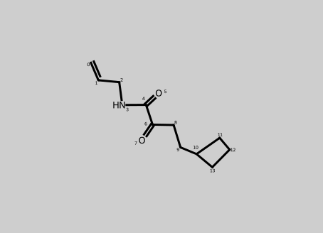 C=CCNC(=O)C(=O)CCC1CCC1